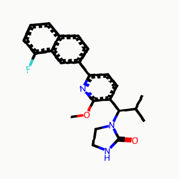 COc1nc(-c2ccc3cccc(F)c3c2)ccc1C(C(C)C)N1CCNC1=O